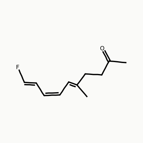 CC(=O)CC/C(C)=C/C=C\C=C\F